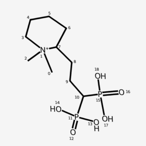 C[N+]1(C)CCCCC1CCC(P(=O)(O)O)P(=O)(O)O